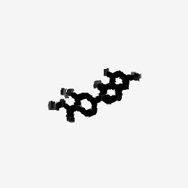 CC1CC(n2cnc3cc(Br)cc(F)c3c2=O)CCN1C(=O)OC(C)(C)C